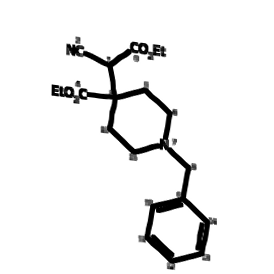 CCOC(=O)C(C#N)C1(C(=O)OCC)CCN(Cc2ccccc2)CC1